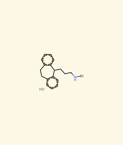 CCNCCCC1c2ccccc2CCc2ccccc21.Cl